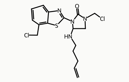 C=CCCCNC1CN(CCl)C(=O)N1c1nc2cccc(CCl)c2s1